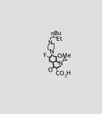 CCCCC(CC)CN1CCN(c2c(F)cc3c(=O)c(C(=O)O)cn(C4CC4)c3c2OC)CC1